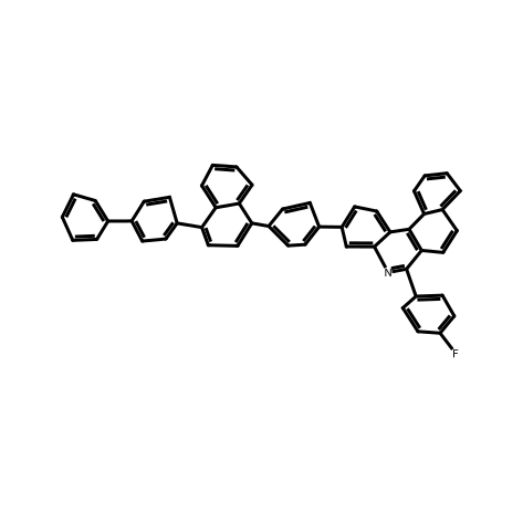 Fc1ccc(-c2nc3cc(-c4ccc(-c5ccc(-c6ccc(-c7ccccc7)cc6)c6ccccc56)cc4)ccc3c3c2ccc2ccccc23)cc1